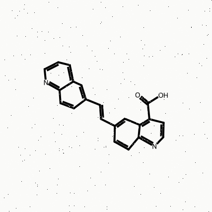 O=C(O)c1ccnc2ccc(C=Cc3ccc4ncccc4c3)cc12